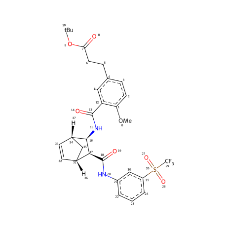 COc1ccc(CCC(=O)OC(C)(C)C)cc1C(=O)N[C@H]1[C@@H](C(=O)Nc2cccc(S(=O)(=O)C(F)(F)F)c2)[C@@H]2C=C[C@H]1C2